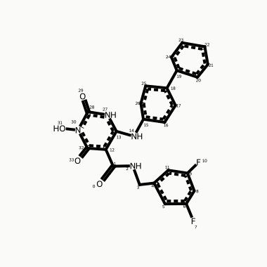 O=C(NCc1cc(F)cc(F)c1)c1c(Nc2ccc(-c3ccccc3)cc2)[nH]c(=O)n(O)c1=O